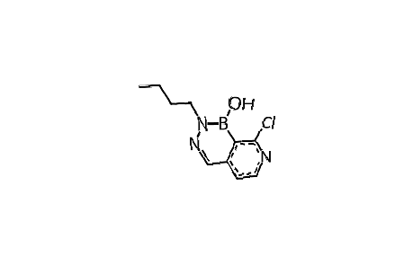 CCCCN1N=Cc2ccnc(Cl)c2B1O